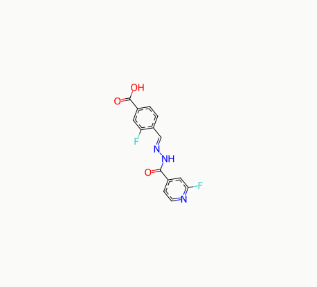 O=C(O)c1ccc(C=NNC(=O)c2ccnc(F)c2)c(F)c1